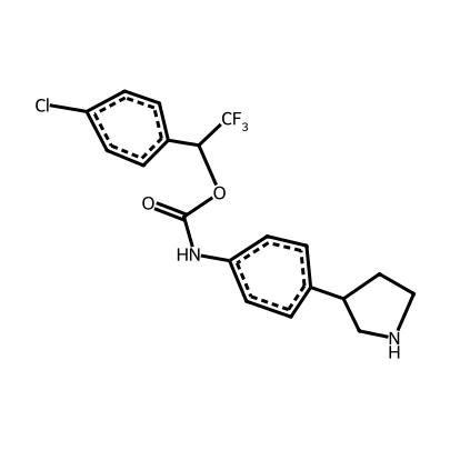 O=C(Nc1ccc(C2CCNC2)cc1)OC(c1ccc(Cl)cc1)C(F)(F)F